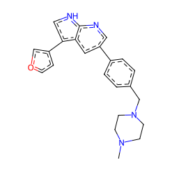 CN1CCN(Cc2ccc(-c3cnc4[nH]cc(-c5ccoc5)c4c3)cc2)CC1